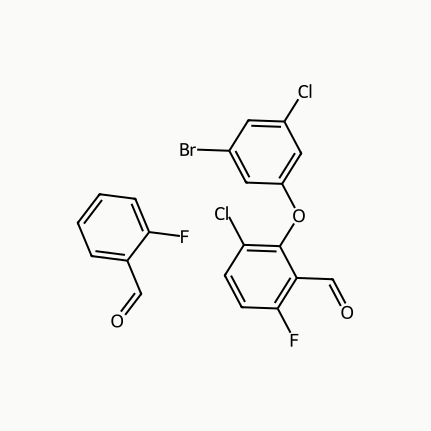 O=Cc1c(F)ccc(Cl)c1Oc1cc(Cl)cc(Br)c1.O=Cc1ccccc1F